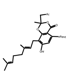 CCCCCc1cc(O)c(C/C=C(\C)CCC=C(C)C)c2c1C(=O)OC(C)(CC(C)=O)O2